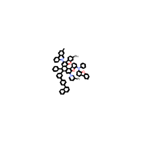 Cc1ccc2c(c1)=CN(c1cc3c(-c4ccccc4)c(-c4cccc(-c5ccc(-c6cccc7ccccc67)cc5)c4)c4cc(N5C=CC=C(C(C)C)C5)c5oc6c(N(c7ccccc7)c7cccc8c7oc7ccccc78)cccc6c5c4c3c3oc4cc(C(C)(C)C)ccc4c13)C1C=CC=CC=21